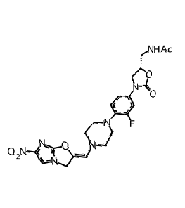 CC(=O)NC[C@H]1CN(c2ccc(N3CCN(/C=C4/Cn5cc([N+](=O)[O-])nc5O4)CC3)c(F)c2)C(=O)O1